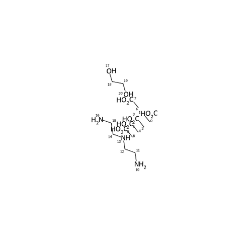 CC(=O)O.CC(=O)O.CC(=O)O.CC(=O)O.CC(=O)O.NCCNCCN.OCCO